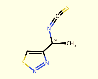 C[C@H](N=C=S)c1csnn1